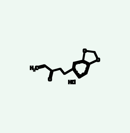 C=CC(=O)CCc1ccc2c(c1)OCO2.Cl